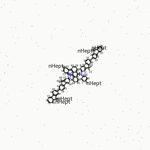 CCCCCCCc1ccc(N(c2ccc3c(c2)C(C)(C)c2cc(-c4ccc5c(c4)C(CCCCCCC)(CCCCCCC)c4ccccc4-5)ccc2-3)c2c3ccccc3c(N(c3ccc(CCCCCCC)cc3)c3ccc4c(c3)C(C)(C)c3cc(-c5ccc6c(c5)C(CCCCCCC)(CCCCCCC)c5ccccc5-6)ccc3-4)c3ccccc23)cc1